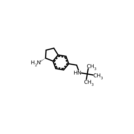 CC(C)(C)NCc1ccc2c(c1)CC[C@H]2N